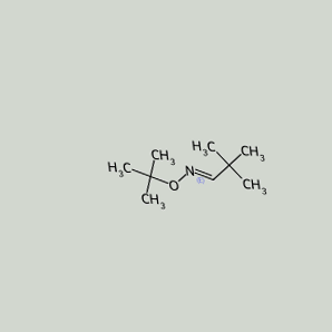 CC(C)(C)/C=N/OC(C)(C)C